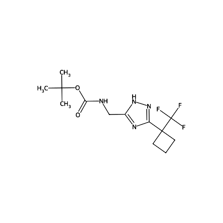 CC(C)(C)OC(=O)NCc1nc(C2(C(F)(F)F)CCC2)n[nH]1